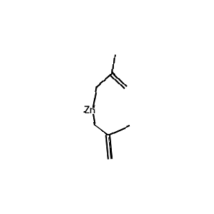 C=C(C)[CH2][Zn][CH2]C(=C)C